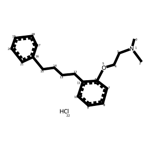 CN(C)CCOc1ccccc1CCCCc1ccccc1.Cl